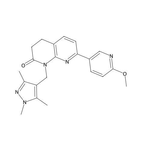 COc1ccc(-c2ccc3c(n2)N(Cc2c(C)nn(C)c2C)C(=O)CC3)cn1